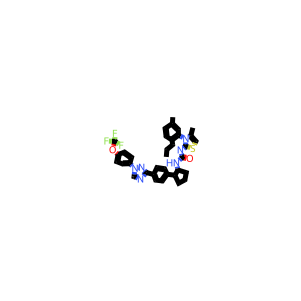 CCCc1ccc(C)cc1-n1c(C)cs/c1=N\C(=O)NC1CCCC1c1ccc(-c2ncn(-c3ccc(OC(F)(F)F)cc3)n2)cc1